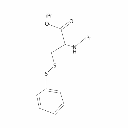 CC(C)NC(CSSc1ccccc1)C(=O)OC(C)C